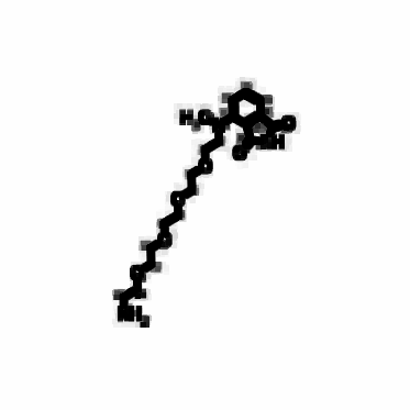 CN(CCOCCOCCOCCOCCN)c1cccc2c1C(=O)NC2=O